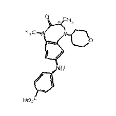 C[C@@H]1C(=O)N(C)c2ccc(Nc3ccc(C(=O)O)cc3)cc2N1C1CCOCC1